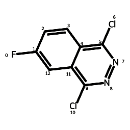 Fc1ccc2c(Cl)nnc(Cl)c2c1